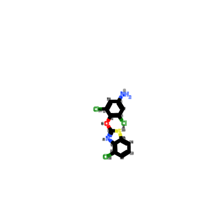 Nc1cc(Cl)c(Oc2nc3c(Cl)cccc3s2)c(Cl)c1